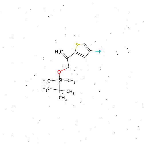 C=C(CO[Si](C)(C)C(C)(C)C)c1cc(F)cs1